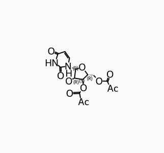 CC(=O)C(=O)OC[C@H]1O[C@@H](n2ccc(=O)[nH]c2=O)[C@H](O)[C@@H]1OC(=O)C(C)=O